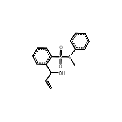 C=CC(O)c1ccccc1S(=O)(=O)N(C)c1ccccc1